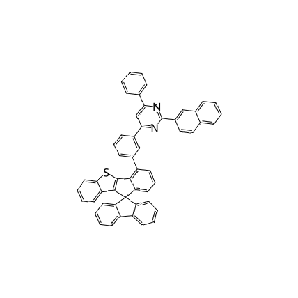 c1ccc(-c2cc(-c3cccc(-c4cccc5c4-c4sc6ccccc6c4C54c5ccccc5-c5ccccc54)c3)nc(-c3ccc4ccccc4c3)n2)cc1